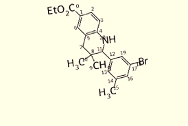 CCOC(=O)c1ccc2c(c1)CC(C)(C)C(c1cc(C)cc(Br)c1)N2